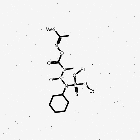 CCOP(=S)(OCC)N(C1CCCCC1)[S+]([O-])N(C)C(=O)ON=C(C)SC